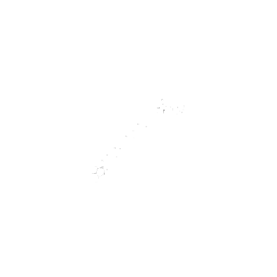 C[N+](C)(C)CCOP(=O)(O)OCCCCCCCCCCCCCCCCCCc1ccc(I)cc1